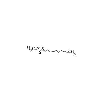 CCCCCCCCCCCCSC(=S)SCC